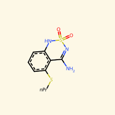 CCCSc1cccc2c1C(N)=NS(=O)(=O)N2